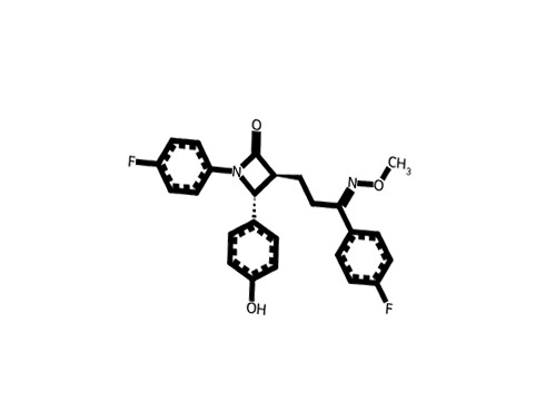 CON=C(CC[C@@H]1C(=O)N(c2ccc(F)cc2)[C@H]1c1ccc(O)cc1)c1ccc(F)cc1